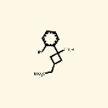 CCOC(=O)CC1CC(C(=O)O)(c2ccccc2C(C)C)C1